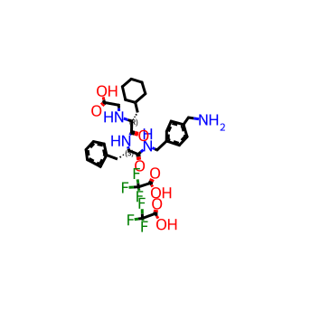 NCc1ccc(CNC(=O)[C@H](Cc2ccccc2)NC(=O)[C@@H](CC2CCCCC2)NCC(=O)O)cc1.O=C(O)C(F)(F)F.O=C(O)C(F)(F)F